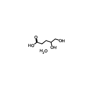 O.O=C(O)CCC(O)CO